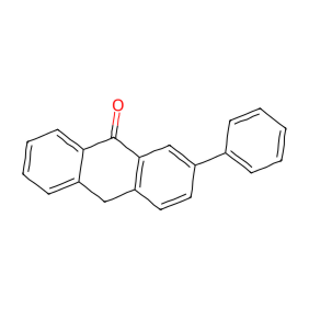 O=C1c2ccccc2Cc2ccc(-c3ccccc3)cc21